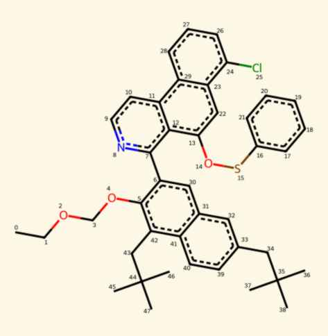 CCOCOc1c(-c2nccc3c2c(OSc2ccccc2)cc2c(Cl)cccc23)cc2cc(CC(C)(C)C)ccc2c1CC(C)(C)C